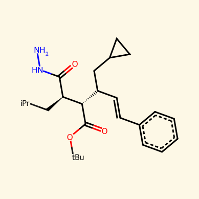 CC(C)C[C@@H](C(=O)NN)[C@@H](C(=O)OC(C)(C)C)C(/C=C/c1ccccc1)CC1CC1